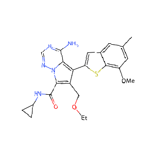 CCOCc1c(-c2cc3cc(C)cc(OC)c3s2)c2c(N)ncnn2c1C(=O)NC1CC1